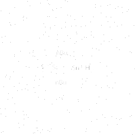 CCC[CH2][SnH2+4][CH2]CCC.[S-2].[S-2]